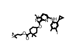 Cc1cc(Nc2ccc3c(n2)c(OC2CCC(C(=O)OCC[Si](C)(C)C)C(C)(C)C2)nn3C)c(C2CC2)cc1I